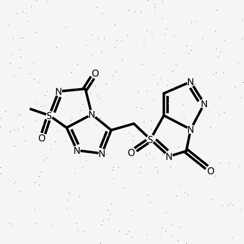 CS1(=O)=NC(=O)n2c(CS3(=O)=NC(=O)n4nncc43)nnc21